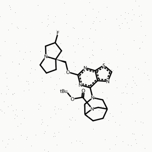 CC(C)(C)OC(=O)N1CC2CCC1CN(c1nc(OC[C@@]34CCCN3CC(F)C4)nc3scnc13)C2